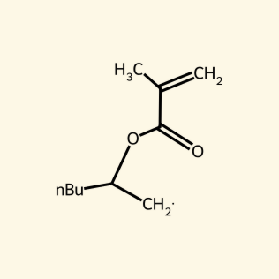 [CH2]C(CCCC)OC(=O)C(=C)C